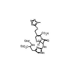 CCOC(=O)C(Cc1c[nH]c(NC2C(=O)N3C(C(=O)O)=C(CSc4nnnn4C)CS[C@@H]23)n1)NC=O